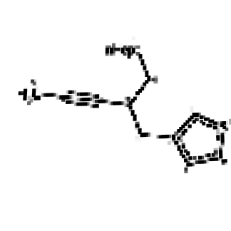 CC#CC(CCCCCCCC)Cc1ccsc1